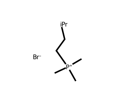 CC(C)CC[P+](C)(C)C.[Br-]